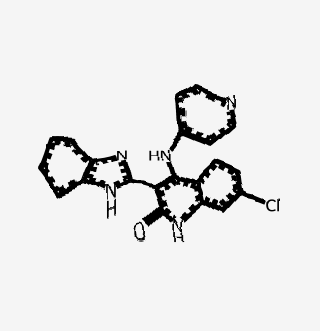 O=c1[nH]c2cc(Cl)ccc2c(Nc2ccncc2)c1-c1nc2ccccc2[nH]1